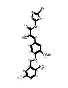 CCc1nnc(NC(=O)/C(C#N)=C/c2ccc(OCc3cc(C)ccc3[N+](=O)[O-])c(OC)c2)s1